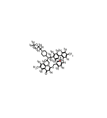 [2H]c1c([2H])c(F)c(F)c(CSc2c([2H])c(=O)c3c([2H])c(C)c([2H])c([2H])c3n2CC(=O)N(C2CCN(C([2H])([2H])C([2H])([2H])OC([2H])([2H])[2H])CC2)C([2H])([2H])c2c([2H])c([2H])c(-c3c([2H])c([2H])c(C(F)(F)F)c([2H])c3[2H])c([2H])c2[2H])c1[2H]